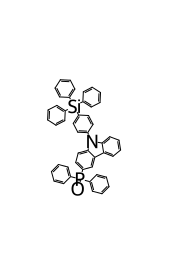 O=P(c1ccccc1)(c1ccccc1)c1ccc2c(c1)c1ccccc1n2-c1ccc([Si](c2ccccc2)(c2ccccc2)c2ccccc2)cc1